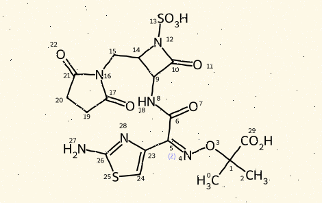 CC(C)(O/N=C(\C(=O)NC1C(=O)N(S(=O)(=O)O)C1CN1C(=O)CCC1=O)c1csc(N)n1)C(=O)O